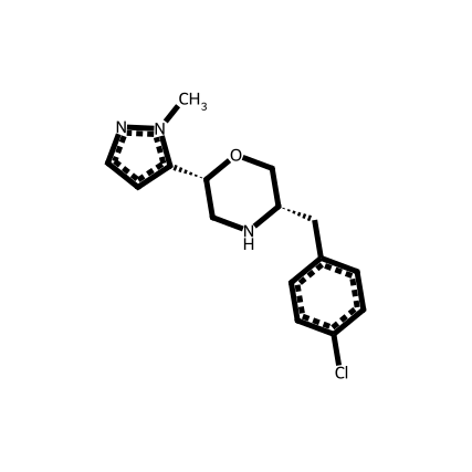 Cn1nccc1[C@H]1CN[C@@H](Cc2ccc(Cl)cc2)CO1